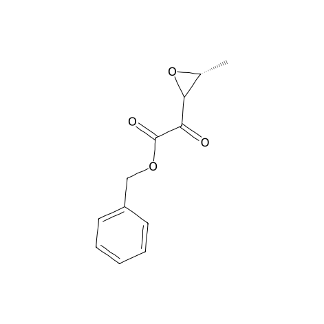 C[C@H]1OC1C(=O)C(=O)OCc1ccccc1